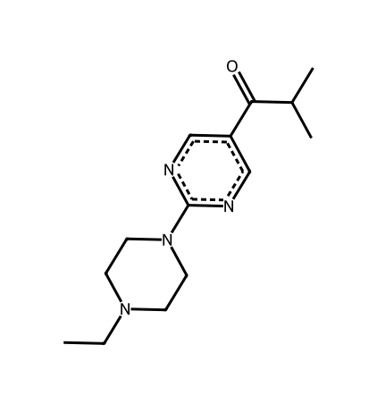 CCN1CCN(c2ncc(C(=O)C(C)C)cn2)CC1